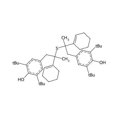 CC(Cc1cc(C(C)(C)C)c(O)c(C(C)(C)C)c1)(SC(C)(Cc1cc(C(C)(C)C)c(O)c(C(C)(C)C)c1)C1=CCCCC1)C1=CCCCC1